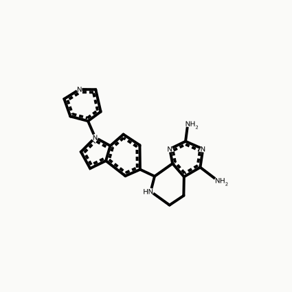 Nc1nc(N)c2c(n1)C(c1ccc3c(ccn3-c3ccncc3)c1)NCC2